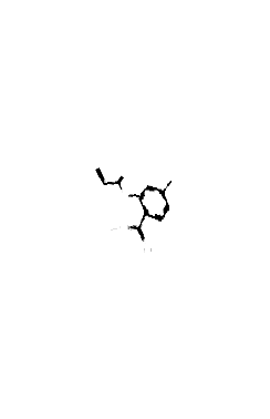 C=CC(=O)Oc1cc(C)ccc1C(=O)O